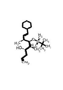 C=CC[C@H](O)[C@H](C)[C@H](O[Si](C)(C)C(C)(C)C)[C@@H](C)/C=C/C1CCCCC1